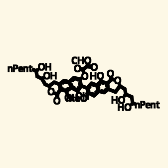 CCCCCC(O)CC(O)CC1Cc2cc3cc(OC)c(-c4c(OC(=O)C(=O)C=O)cc5cc6c(c(O)c5c4O)C(=O)OC(CC(O)CC(O)CCCCC)C6)cc3c(O)c2C(=O)O1